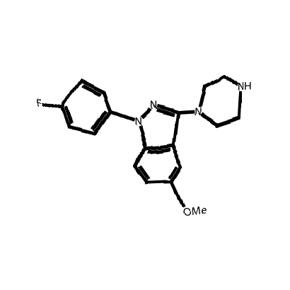 COc1ccc2c(c1)c(N1CCNCC1)nn2-c1ccc(F)cc1